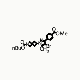 CCCCOC(=O)N1CC2(CC(n3nc(-c4ccc(C(=O)OC)cc4)c(Br)c3C)C2)C1